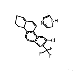 C1=CNCC=N1.FC(F)(F)c1cc2ccc3c(c2cc1Cl)C=CC1=CCCCC13